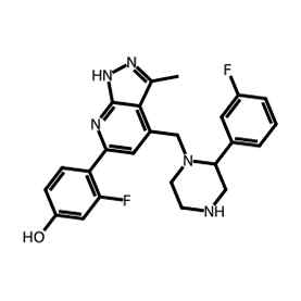 Cc1n[nH]c2nc(-c3ccc(O)cc3F)cc(CN3CCNCC3c3cccc(F)c3)c12